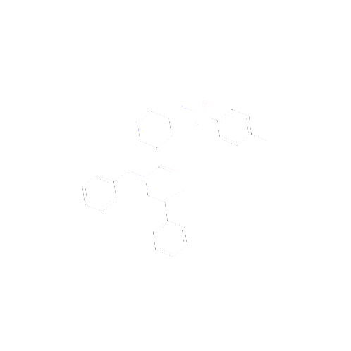 Cc1ccc(S(=O)(=O)N[C@H]2CNC[C@@H](C(=O)N(Cc3ccccc3)CC(c3ccccc3)C(C)C)C2)cc1